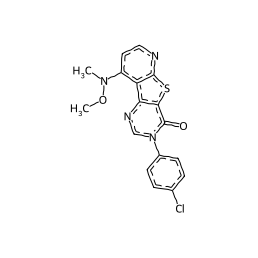 CON(C)c1ccnc2sc3c(=O)n(-c4ccc(Cl)cc4)cnc3c12